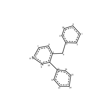 c1ccc(Cc2ccnnc2-c2ccccc2)cc1